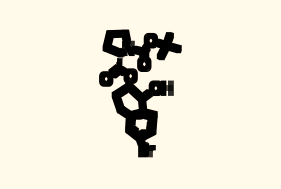 CC(C)(C)OC(=O)N1CCC[C@H]1C(=O)OC1CCc2cc(Br)ccc2C1O